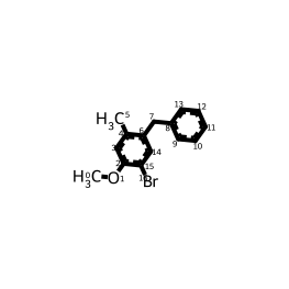 COc1cc(C)c(Cc2ccccc2)cc1Br